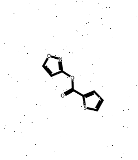 O=C(Oc1ccon1)c1cccs1